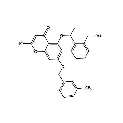 CC(C)c1cc(=O)c2c(OC(C)c3ccccc3CO)cc(OCc3cccc(C(F)(F)F)c3)cc2o1